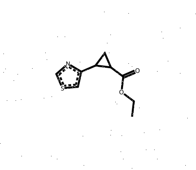 CCOC(=O)C1CC1c1cscn1